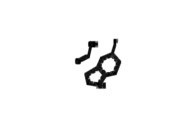 Fc1ccc2[nH]ccc2c1.O=CO